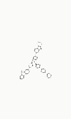 CC1C=CC2=C(C1)c1ccc(-c3ccc(N(c4ccc(-c5ccc(-c6ccccc6)cc5)cc4)C4(C)C=CC(c5ccc6c(c5)C(C)(C)c5ccccc5-6)=CC4)cc3)cc1C2(C)C